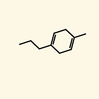 CCCC1=CCC(C)=CC1